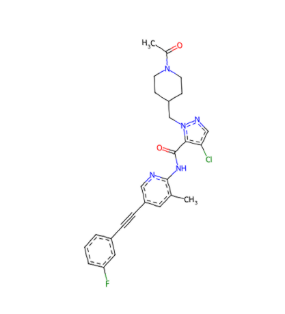 CC(=O)N1CCC(Cn2ncc(Cl)c2C(=O)Nc2ncc(C#Cc3cccc(F)c3)cc2C)CC1